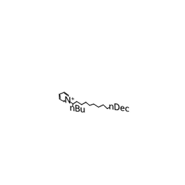 CCCCCCCCCCCCCCCCCCC(CCCC)[n+]1ccccc1